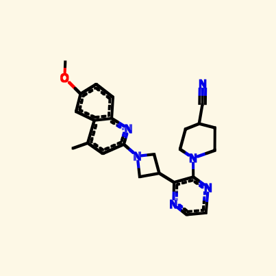 COc1ccc2nc(N3CC(c4nccnc4N4CCC(C#N)CC4)C3)cc(C)c2c1